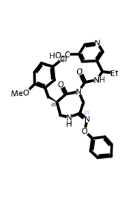 CCC(NC(=O)N1C/C(=N/Oc2ccccc2)NC[C@@H](Cc2cc(Cl)ccc2OC)C1=O)c1cncc(C(=O)O)c1